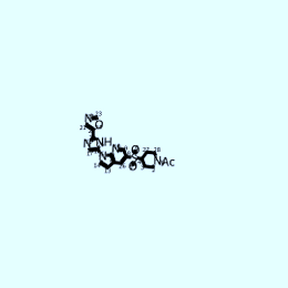 CC(=O)N1CCC(S(=O)(=O)c2cnc3c(ccn3-c3cnc(-c4cnco4)[nH]3)c2)CC1